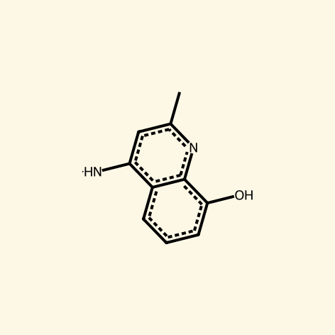 Cc1cc([NH])c2cccc(O)c2n1